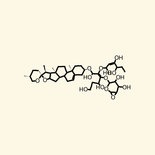 CCC(O)/C(O)=C\C(O)O/C(=C(\OC1OC2OC2C(O)C1O)C(O)CCO)C(O)O[C@H]1CC[C@@]2(C)C(=CCC3C4CC5O[C@]6(CC[C@@H](C)CO6)[C@@H](C)C5[C@@]4(C)CCC32)C1